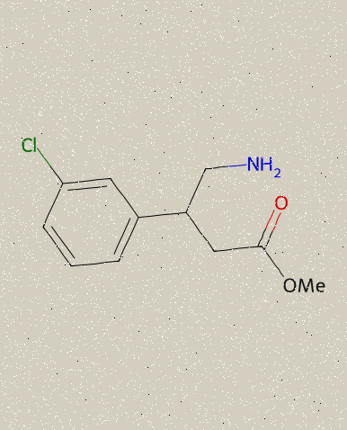 COC(=O)CC(CN)c1cccc(Cl)c1